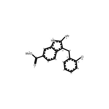 CCCc1[nH]c2cc(C(=O)OC)ccc2c1Cc1ccccc1Cl